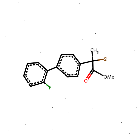 COC(=O)C(C)(S)c1ccc(-c2ccccc2F)cc1